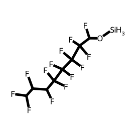 FC(F)C(F)C(F)C(F)(F)C(F)(F)C(F)(F)C(F)(F)C(F)O[SiH3]